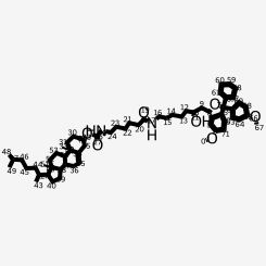 COc1ccc(C(OCCC(O)CCCCCNC(=O)CCCCCNC(=O)O[C@@H]2CC[C@]3(C)C(=CCC4C5CCC(C(C)CCCC(C)C)[C@]5(C)CCC43)C2)(c2ccccc2)c2ccc(OC)cc2)cc1